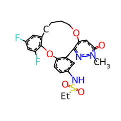 CCS(=O)(=O)Nc1ccc2c(c1)-c1nn(C)c(=O)cc1OCCCCc1cc(F)cc(F)c1O2